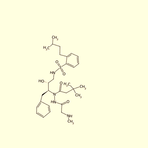 CNCC(=O)NN(C(=O)CC(C)(C)C)[C@@H](Cc1ccccc1)[C@H](O)CNS(=O)(=O)c1ccccc1CCC(C)C